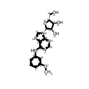 COc1cccc(Nc2ncnc3c2ncn3[C@@H]2O[C@H](CO)[C@@H](O)[C@H]2O)c1